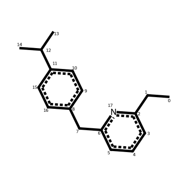 CCc1cccc(Cc2ccc(C(C)C)cc2)n1